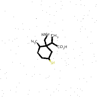 CNCC1(C(C)C(=O)O)CC(S)CCC1C